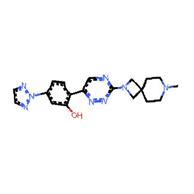 CN1CCC2(CC1)CN(c1ncc(-c3ccc(-n4nccn4)cc3O)nn1)C2